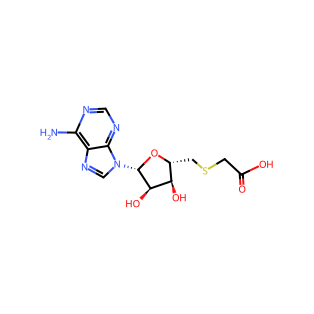 Nc1ncnc2c1ncn2[C@@H]1O[C@H](CSCC(=O)O)[C@@H](O)[C@H]1O